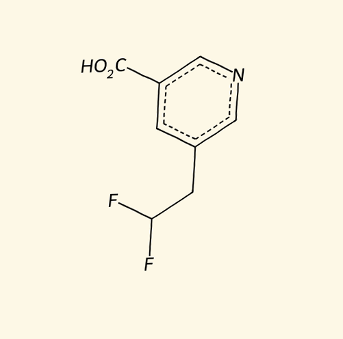 O=C(O)c1cncc(CC(F)F)c1